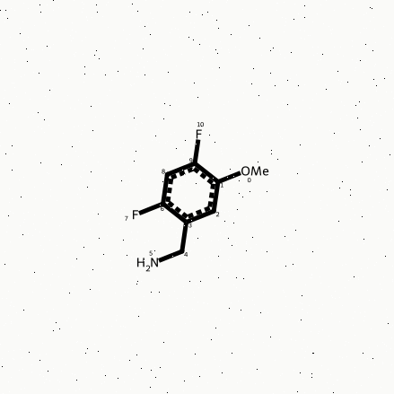 COc1cc(CN)c(F)cc1F